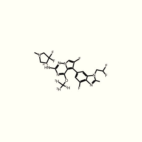 [2H]C([2H])([2H])Oc1nc(N[C@@H]2CN(C)CC2(F)F)nn2cc(F)c(-c3cc(F)c4nc(C)n(CC(F)F)c4c3)c12